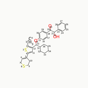 CCc1sc(C2=CCSCC2)cc1C(Oc1ccc(C(=O)C(O)c2ccccc2)cc1)C1CCCCC1